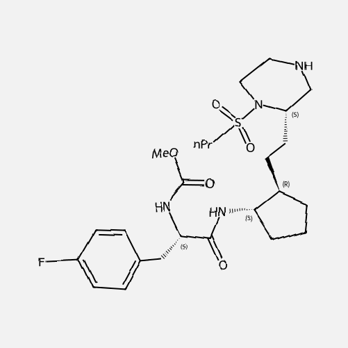 CCCS(=O)(=O)N1CCNC[C@@H]1CC[C@H]1CCC[C@@H]1NC(=O)[C@H](Cc1ccc(F)cc1)NC(=O)OC